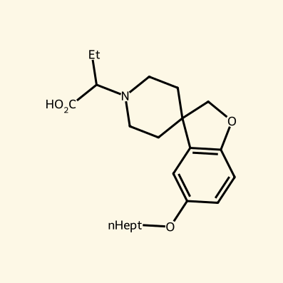 CCCCCCCOc1ccc2c(c1)C1(CCN(C(CC)C(=O)O)CC1)CO2